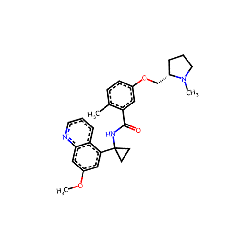 COc1cc(C2(NC(=O)c3cc(OC[C@@H]4CCCN4C)ccc3C)CC2)c2cccnc2c1